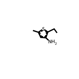 CCc1sc(C)cc1N